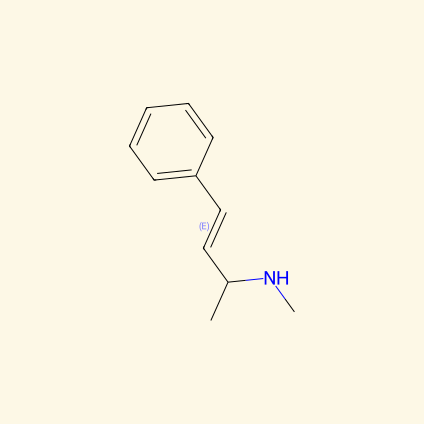 CNC(C)/C=C/c1ccccc1